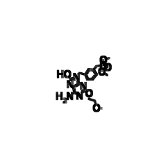 COCCOc1nc(N)c2nc(O)n(Cc3cccc(CP(=O)(OC)OC)c3)c2n1